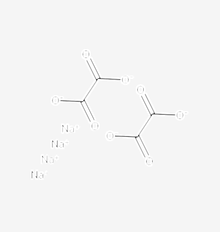 O=C([O-])C(=O)[O-].O=C([O-])C(=O)[O-].[Na+].[Na+].[Na+].[Na+]